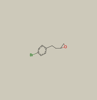 Brc1ccc(CCC2CO2)cc1